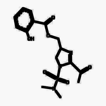 CC(=O)C1=NC(COC(=O)c2ccccc2O)CN1S(=O)(=O)N(C)C